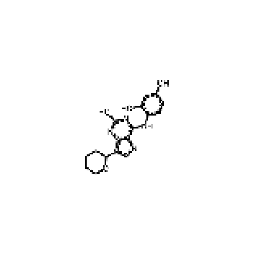 Oc1ccc(Nc2nc(O)nc3c2ncn3C2CCCCO2)c(O)c1